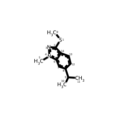 CSc1nn(C)c2cc(C(C)C)ccc12